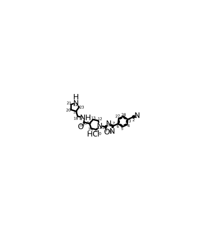 Cl.N#Cc1ccc(-c2noc(N3CCC(C(=O)NCC4CCNC4)CC3)n2)cc1